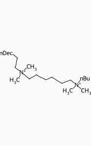 CCCCCCCCCCCC[N+](C)(C)CCCCCC[N+](C)(C)CCCC